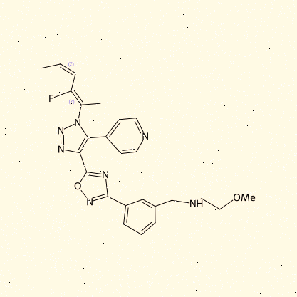 C/C=C\C(F)=C(/C)n1nnc(-c2nc(-c3cccc(CNCCOC)c3)no2)c1-c1ccncc1